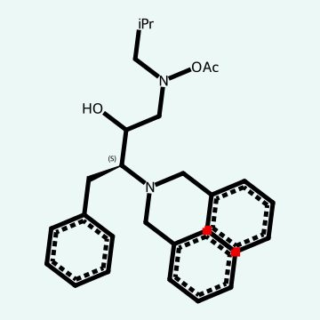 CC(=O)ON(CC(C)C)CC(O)[C@H](Cc1ccccc1)N(Cc1ccccc1)Cc1ccccc1